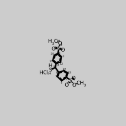 COS(=O)(=O)c1ccc(C(S)c2ccc(S(=O)(=O)OC)cc2)cc1.Cl